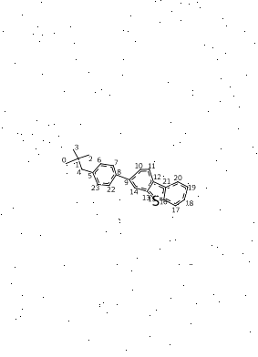 CC(C)(C)Cc1ccc(-c2ccc3c(c2)sc2ccccc23)cc1